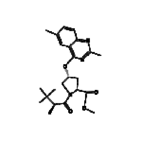 COC(=O)C1C[C@@H](Oc2nc(C)nc3ccc(C)cc23)CN1C(=O)[C@@H](C)C(C)(C)C